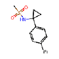 CC(C)c1ccc(C2(NS(C)(=O)=O)CC2)cc1